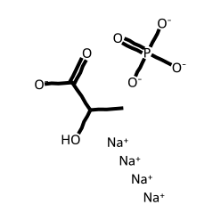 CC(O)C(=O)[O-].O=P([O-])([O-])[O-].[Na+].[Na+].[Na+].[Na+]